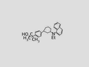 CCN(c1cccc2ccccc12)C1CCCC(c2ccc(C(C)(C)C(=O)O)cc2)C1